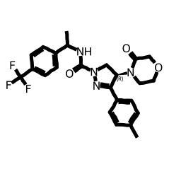 Cc1ccc(C2=NN(C(=O)NC(C)c3ccc(C(F)(F)F)cc3)C[C@H]2N2CCOCC2=O)cc1